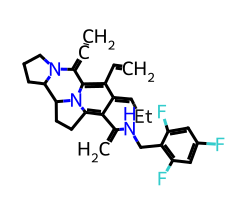 C=C=C1C2=C(C=C)/C(=C/CC)C(C(=C)NCc3c(F)cc(F)cc3F)=C3CCC(C4CCCN14)N32